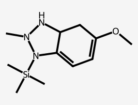 COC1=CC=C2C(C1)NN(C)N2[Si](C)(C)C